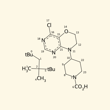 CC(C)(C)CC(C)(C)C(C)(C)C.O=C(O)N1CCC(N2CCOc3c(Cl)ncnc32)CC1